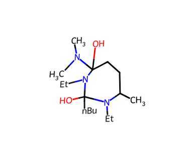 CCCCC1(O)N(CC)C(C)CCC(O)(N(C)C)N1CC